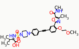 CNC(=O)c1oc(-c2cc(C#Cc3ccc(N4CCN(S(=O)(=O)N[C@@H](C(=O)O)C(C)C)CC4)cc3)ccc2OCCOC)nc1C